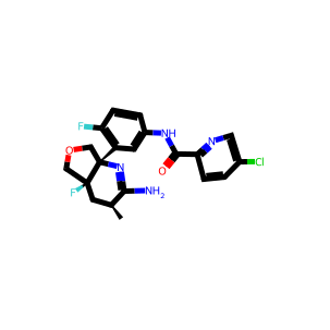 C[C@H]1C[C@]2(F)COC[C@]2(c2cc(NC(=O)c3ccc(Cl)cn3)ccc2F)N=C1N